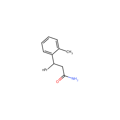 CCCC(CC(N)=O)c1ccccc1C